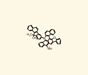 CC(C)(C)c1ccc(N(c2ccc3c(c2)-c2ccc4ccccc4c2C3(C)C)c2ccc3ccccc3c2-c2cccc3c2oc2ccccc23)c2ccccc12